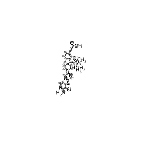 CC(C)(C)[S@@+]([O-])N[C@@H]1c2cc(C#CC(=O)O)ccc2CC12CCN(c1cnc(Sc3ccnc(N)c3Cl)cn1)CC2